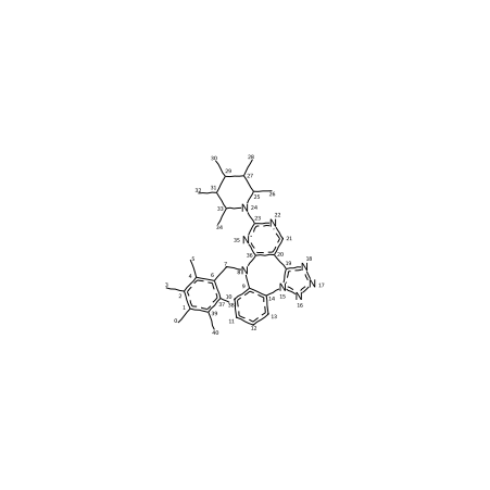 Cc1c(C)c(C)c(CN2c3ccccc3-n3nnnc3-c3cnc(N4C(C)C(C)C(C)C(C)C4C)nc32)c(C)c1C